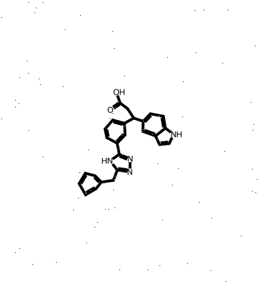 O=C(O)CC(c1cccc(-c2nnc(Cc3ccccc3)[nH]2)c1)c1ccc2[nH]ccc2c1